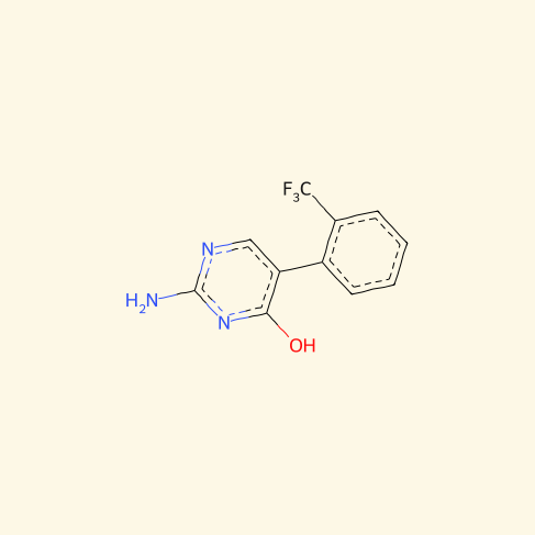 Nc1ncc(-c2ccccc2C(F)(F)F)c(O)n1